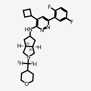 [2H]C([2H])(C1CCOCC1)N1C[C@H]2CC(Nc3nnc(-c4cc(F)ccc4F)cc3C3CCC3)C[C@H]2C1